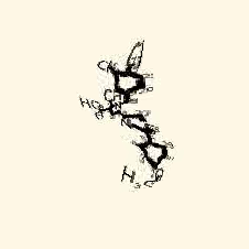 COc1ccc(-c2nc(-c3cc(C(=O)O)c(C)n3Cc3ccc(Cl)c(Cl)c3)cs2)cc1